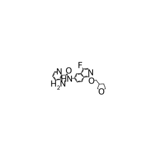 Nc1cccnc1C(=O)Nc1ccc2c(OCC3CCOC3)ncc(F)c2c1